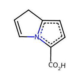 O=C(O)c1ccc2n1C=CC2